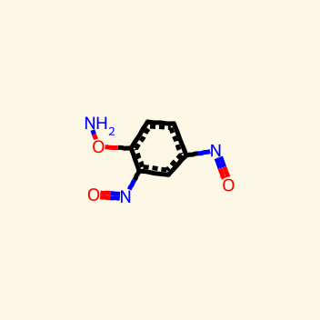 NOc1ccc(N=O)cc1N=O